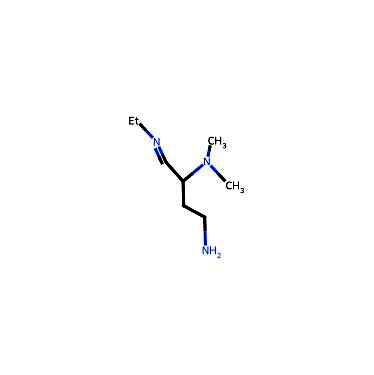 CCN=CC(CCN)N(C)C